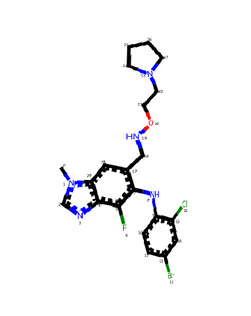 Cn1cnc2c(F)c(Nc3ccc(Br)cc3Cl)c(CNOCCN3CCCC3)cc21